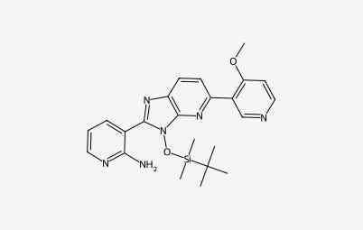 COc1ccncc1-c1ccc2nc(-c3cccnc3N)n(O[Si](C)(C)C(C)(C)C)c2n1